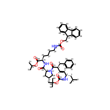 CC(C)C[C@@H](/C=C/[C@H](Cc1ccccc1)C(=O)N1CCC[C@H]1C(=O)N[C@H](CCCCNC(=O)OCC1c2ccccc2-c2ccccc21)C(=O)OC(C)C)NC(=O)OC(C)(C)C